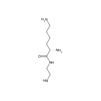 [NH]CCNC(=O)[C@@H](N)CCCCN